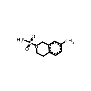 Cc1ccc2c(c1)CN(S(N)(=O)=O)CC2